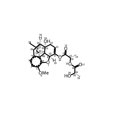 COc1ccc2c3c1O[C@@H]1C(OC(=O)[C@H](C)OC(=O)[C@H](C)O)=CC[C@]4(O)[C@H](C2)N(C)CC[C@@]314